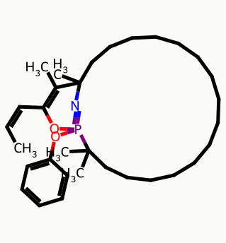 C/C=C\C1=C(C)C2(C)CCCCCCCCCCCCCCCC(C)(C)P(Oc3ccccc3)(=N2)O1